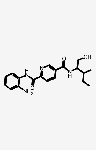 CCC(C)C(CO)NC(=O)c1ccc(C(=O)Nc2ccccc2N)nc1